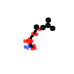 N[C@@H](COP(=O)(O)OCCCOC(=O)CCc1ccccc1Oc1ccc(-c2cc(-c3ccccc3)cc(-c3ccccc3)c2)cc1)C(=O)O